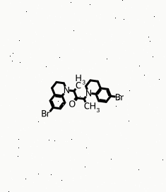 CC(C(=O)C(C)N1CCCc2cc(Br)ccc21)N1CCCc2cc(Br)ccc21